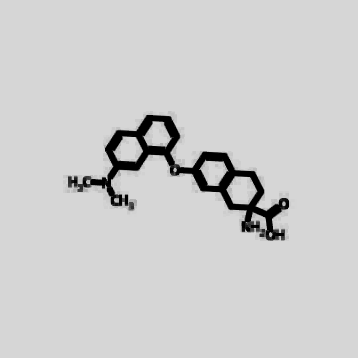 CN(C)c1ccc2cccc(Oc3ccc4c(c3)CC(N)(C(=O)O)CC4)c2c1